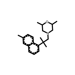 Cc1ccc2c(C(C)(C)CN3CC(C)OC(C)C3)cccc2c1